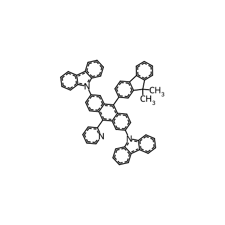 CC1(C)c2ccccc2-c2ccc(-c3c4cc(-n5c6ccccc6c6ccccc65)ccc4c(-c4ccccn4)c4cc(-n5c6ccccc6c6ccccc65)ccc34)cc21